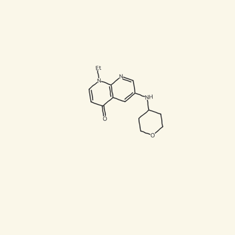 CCn1ccc(=O)c2cc(NC3CCOCC3)cnc21